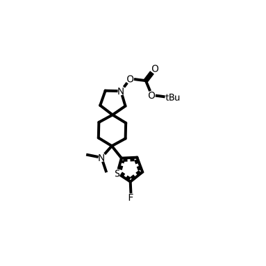 CN(C)C1(c2ccc(F)s2)CCC2(CCN(OC(=O)OC(C)(C)C)C2)CC1